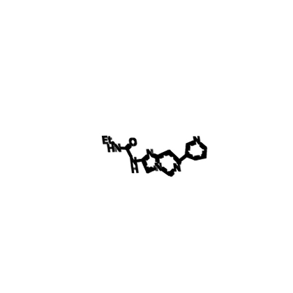 CCNC(=O)Nc1cn2cnc(-c3cccnc3)cc2n1